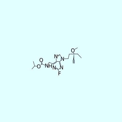 C#C[C@@](CC)(CCn1cnc2c(CNC(=O)OC(C)C)nc(F)nc21)OC